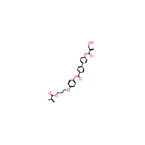 C=C(C)C(=O)OCCCOc1ccc(OC(=O)c2ccc(-c3ccc(OC(=O)C(=C)CO)cc3)cc2)cc1